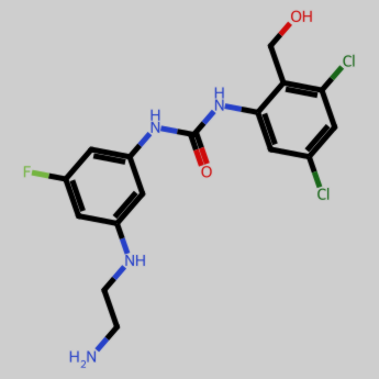 NCCNc1cc(F)cc(NC(=O)Nc2cc(Cl)cc(Cl)c2CO)c1